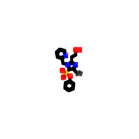 CC(C)c1nc(CCO)n(Cc2ccccn2)c1S(=O)(=O)Oc1ccccc1